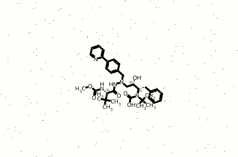 COC(=O)N[C@H](C(=O)NN(Cc1ccc(-c2ccccn2)cc1)C[C@H](O)[C@H](Cc1ccccc1)N(C(=O)O)C(C)(C)C)C(C)(C)C